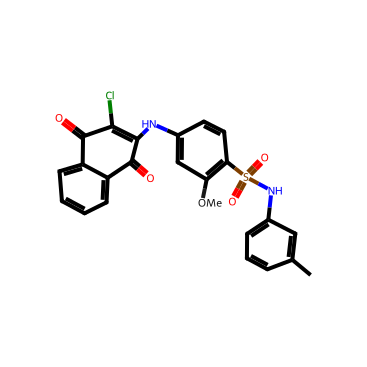 COc1cc(NC2=C(Cl)C(=O)c3ccccc3C2=O)ccc1S(=O)(=O)Nc1cccc(C)c1